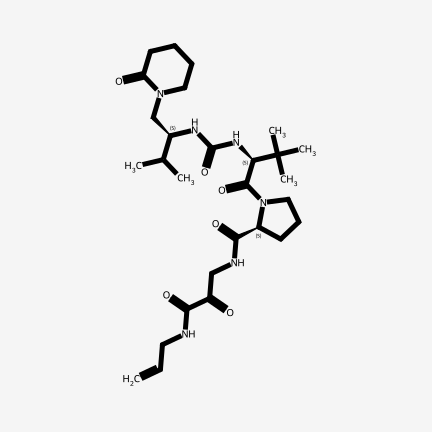 C=CCNC(=O)C(=O)CNC(=O)[C@@H]1CCCN1C(=O)[C@@H](NC(=O)N[C@H](CN1CCCCC1=O)C(C)C)C(C)(C)C